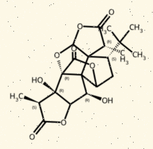 C[C@@H]1C(=O)OC2[C@H](O)C34C5C[C@@H](C(C)(C)C)C36C(OC(=O)[C@@H]6C)O[C@@]4(C(=O)O5)[C@]21O